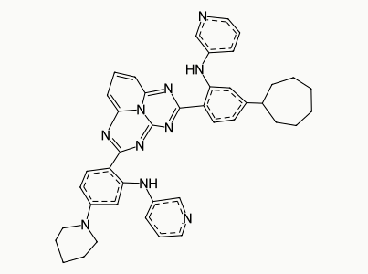 C1=CC2=NC(c3ccc(C4CCCCCC4)cc3Nc3cccnc3)=NC3=NC(c4ccc(N5CCCCC5)cc4Nc4cccnc4)=NC(=C1)N23